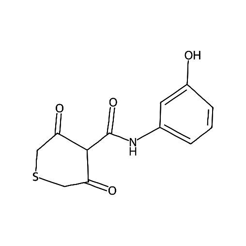 O=C1CSCC(=O)C1C(=O)Nc1cccc(O)c1